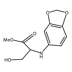 COC(=O)C(CO)Nc1ccc2c(c1)OCO2